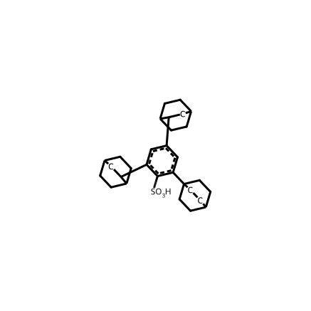 O=S(=O)(O)c1c(C2CC3CCC2CC3)cc(C2CC3CCC2CC3)cc1C12CCC(CC1)CC2